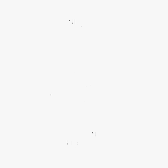 CN1CCCC1COc1cc(N)ccc1Cl